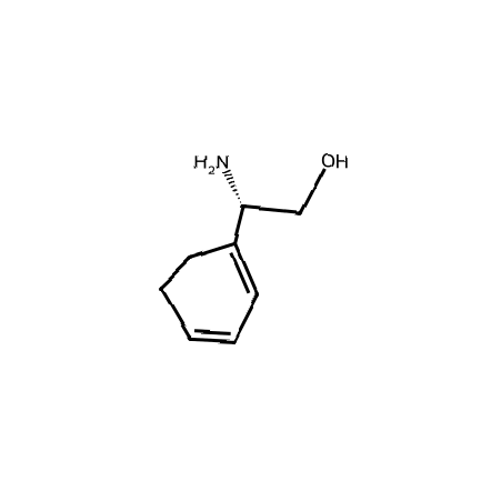 N[C@H](CO)C1=CC=CCC1